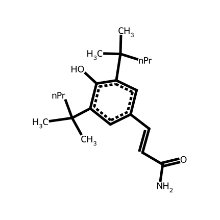 CCCC(C)(C)c1cc(C=CC(N)=O)cc(C(C)(C)CCC)c1O